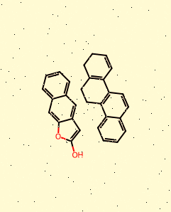 C1=CC2=C(CC1)CCc1c2ccc2ccccc12.Oc1cc2cc3ccccc3cc2o1